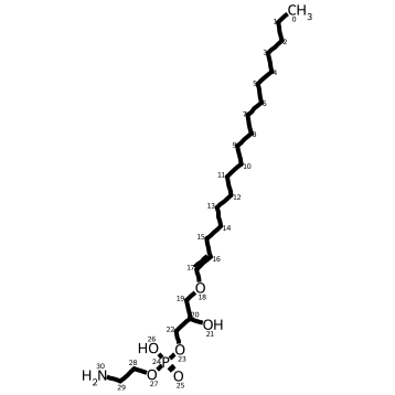 CCCCCCCCCCCCCCCC/C=C/OCC(O)COP(=O)(O)OCCN